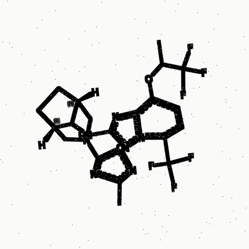 Cc1noc(N2C[C@H]3CC[C@@H](C2)C3Nc2nc3c(OC(C)C(F)(F)F)ccc(C(F)(F)F)n3n2)n1